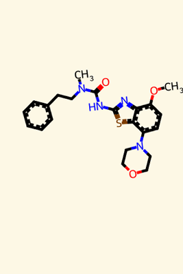 COc1ccc(N2CCOCC2)c2sc(NC(=O)N(C)CCc3ccccc3)nc12